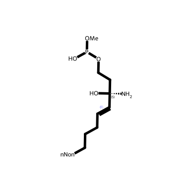 CCCCCCCCCCCC/C=C/[C@@](N)(O)CCOP(O)OC